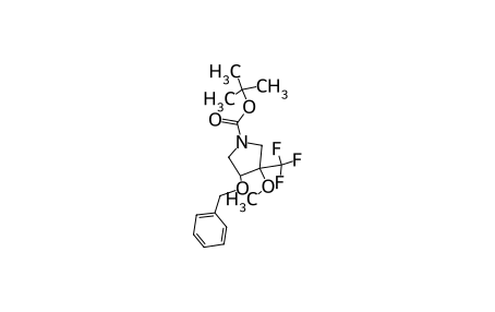 COC1(C(F)(F)F)CN(C(=O)OC(C)(C)C)CC1OCc1ccccc1